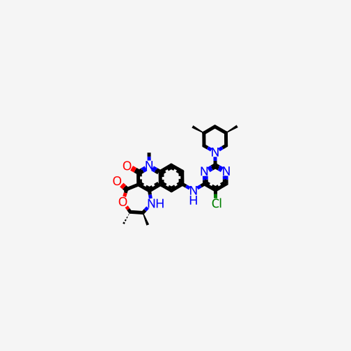 C[C@@H]1C[C@H](C)CN(c2ncc(Cl)c(Nc3ccc4c(c3)c3c(c(=O)n4C)C(=O)O[C@@H](C)[C@H](C)N3)n2)C1